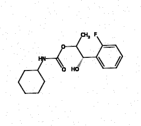 CC(OC(=O)NC1CCCCC1)[C@@H](O)c1ccccc1F